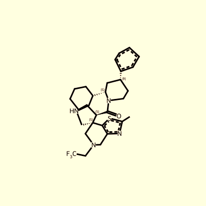 Cc1nc2c(s1)[C@@]1(CNC[C@H]1C(=O)N1CC[C@@H](c3ccccc3)C[C@H]1C1CCCCC1)CN(CC(F)(F)F)C2